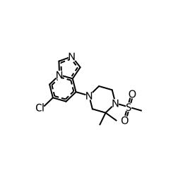 CC1(C)CN(c2cc(Cl)cn3cncc23)CCN1S(C)(=O)=O